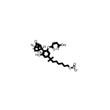 CC(C)(CCCCCCO[N+](=O)[O-])c1cc(O)c([C@@H]2CC(=O)[C@@H]3C[C@H]2C3(C)C)c(OC(=O)/C=C\C(=O)O)c1